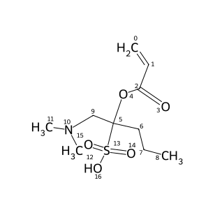 C=CC(=O)OC(CCC)(CN(C)C)S(=O)(=O)O